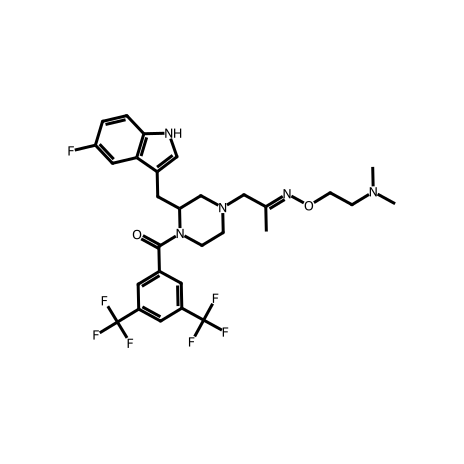 C/C(CN1CCN(C(=O)c2cc(C(F)(F)F)cc(C(F)(F)F)c2)C(Cc2c[nH]c3ccc(F)cc23)C1)=N\OCCN(C)C